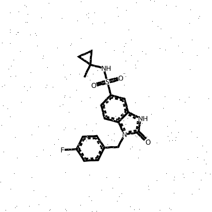 CC1(NS(=O)(=O)c2ccc3c(c2)[nH]c(=O)n3Cc2ccc(F)cc2)CC1